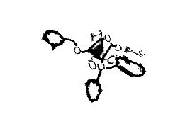 CC(=O)OC1O[C@@H]2C(OCc3ccccc3)[C@]2(OCc2ccccc2)[C@@]1(C)OCc1ccccc1